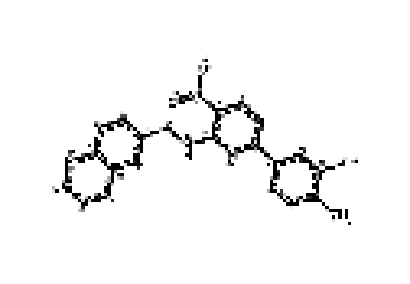 Cc1ccc(-c2ccc([N+](=O)[O-])c(NCc3ccc4ncccc4c3)n2)cc1F